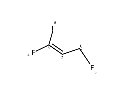 F[C]C=C(F)F